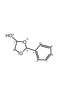 OC1COC(c2ccccc2)O1